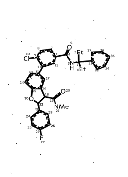 CCC(CC)(NC(=O)c1ccc(Cl)c(-c2ccc3c(c2)C(C(=O)NC)C(c2ccc(F)cc2)O3)c1)c1ccccc1